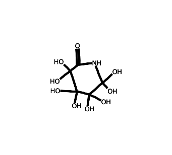 O=C1NC(O)(O)C(O)(O)C(O)(O)C1(O)O